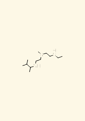 CCNCCN(C)CCNC(C)C(C)C